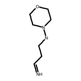 N=CCC[N]N1CCOCC1